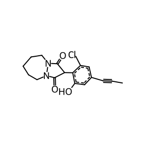 CC#Cc1cc(O)c(C2C(=O)N3CCCCCN3C2=O)c(Cl)c1